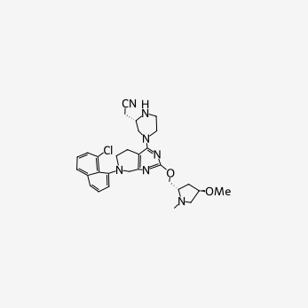 CO[C@@H]1C[C@@H](COc2nc3c(c(N4CCN[C@@H](CC#N)C4)n2)CCN(c2cccc4cccc(Cl)c24)C3)N(C)C1